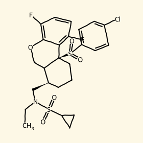 CCN(C[C@@H]1CCC[C@@]2(S(=O)(=O)c3ccc(Cl)cc3)c3c(F)ccc(F)c3OCC12)S(=O)(=O)C1CC1